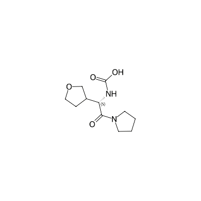 O=C(O)N[C@H](C(=O)N1CCCC1)C1CCOC1